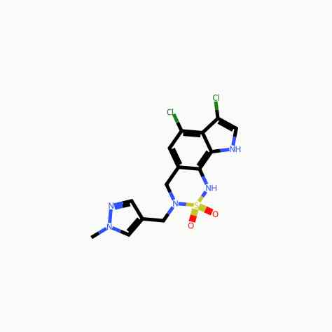 Cn1cc(CN2Cc3cc(Cl)c4c(Cl)c[nH]c4c3NS2(=O)=O)cn1